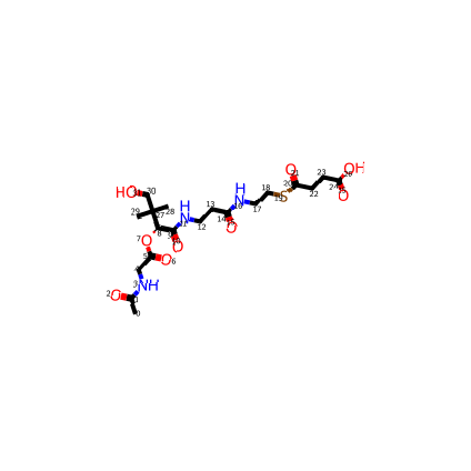 CC(=O)NCC(=O)O[C@@H](C(=O)NCCC(=O)NCCSC(=O)CCC(=O)O)C(C)(C)CO